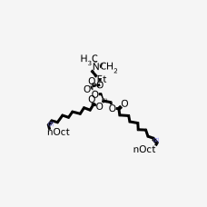 C=[N+](C)CCOP(=O)(OCC)OC[C@@H](COC(=O)CCCCCCC/C=C\CCCCCCCC)OC(=O)CCCCCCC/C=C\CCCCCCCC